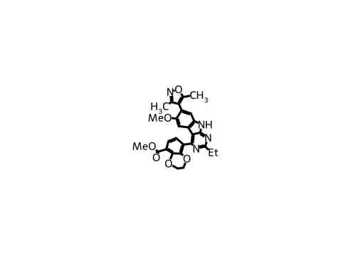 CCc1nc(-c2ccc(C(=O)OC)c3c2OCCO3)c2c(n1)[nH]c1cc(-c3c(C)noc3C)c(OC)cc12